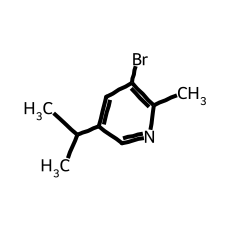 Cc1ncc(C(C)C)cc1Br